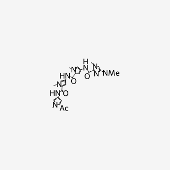 CNc1cn(C)c(C(=O)Nc2cc(C(=O)Nc3cc(C(=O)Nc4cc(C(C)=O)n(C)c4)n(C)c3)n(C)c2)n1